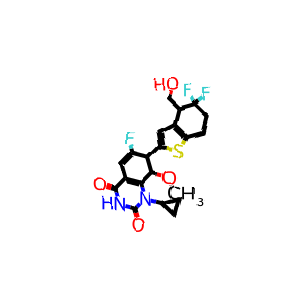 COC1c2c(c(=O)[nH]c(=O)n2C2CC2)C=C(F)C1c1cc2c(s1)CCC(F)(F)C2CO